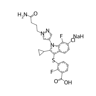 NC(=O)CCCn1cc(-n2c(C3CC3)c(Sc3cccc(C(=O)O)c3F)c3ccc(Cl)c(F)c32)cn1.[NaH]